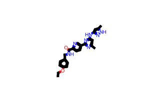 CCOc1ccc(CNC(=O)c2ccc(-c3nc(C)cc(Nc4cc(C)[nH]n4)n3)cn2)cc1